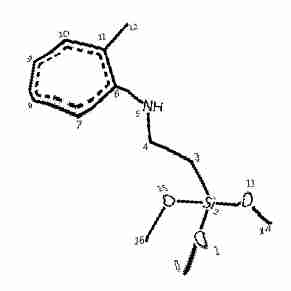 CO[Si](CCNc1ccccc1C)(OC)OC